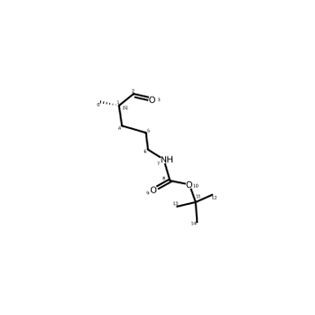 C[C@H](C=O)CCCNC(=O)OC(C)(C)C